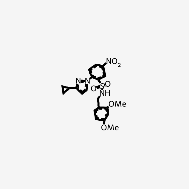 COc1ccc(CNS(=O)(=O)c2cc([N+](=O)[O-])ccc2-n2ccc(C3CC3)n2)c(OC)c1